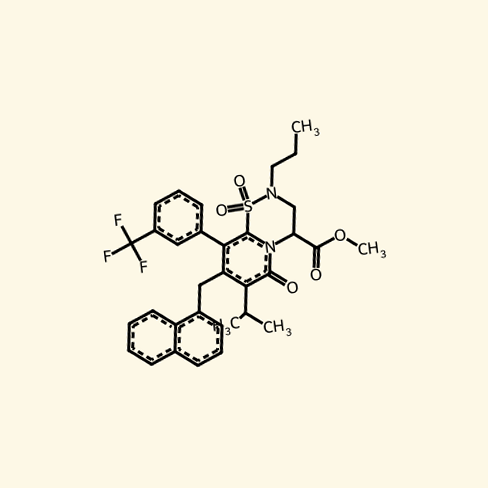 CCCN1CC(C(=O)OC)n2c(c(-c3cccc(C(F)(F)F)c3)c(Cc3cccc4ccccc34)c(C(C)C)c2=O)S1(=O)=O